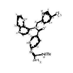 CN/C(N)=N\c1ccc(C(=O)N(Cc2ccc(C(F)(F)F)cn2)c2ccnc3cccnc23)cn1